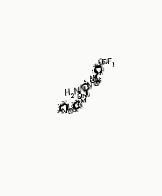 NC(=O)N1CCN(c2nc(-c3ccc(OC(F)(F)F)cc3)no2)CC1COCN1CCC(Oc2ccccn2)CC1